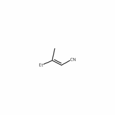 CC/C(C)=C/C#N